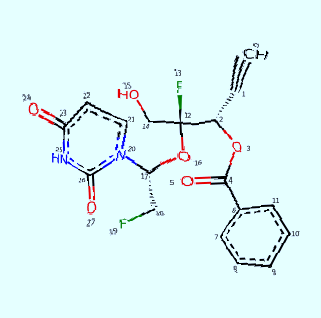 C#C[C@H](OC(=O)c1ccccc1)[C@@](F)(CO)O[C@H](CF)n1ccc(=O)[nH]c1=O